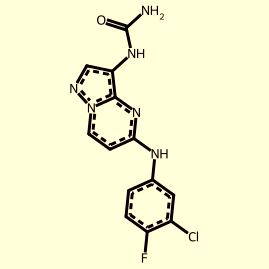 NC(=O)Nc1cnn2ccc(Nc3ccc(F)c(Cl)c3)nc12